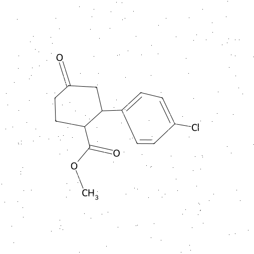 COC(=O)C1CCC(=O)CC1c1ccc(Cl)cc1